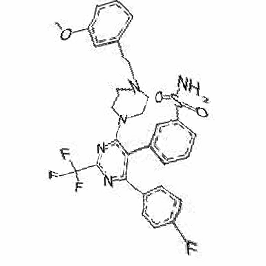 COc1cccc(CN2CCN(c3nc(C(F)(F)F)nc(-c4ccc(F)cc4)c3-c3cccc(S(N)(=O)=O)c3)CC2)c1